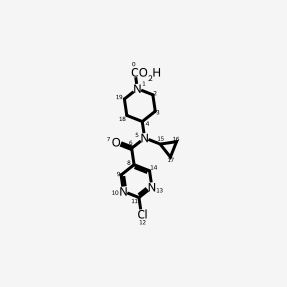 O=C(O)N1CCC(N(C(=O)c2cnc(Cl)nc2)C2CC2)CC1